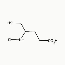 O=C(O)CCC(CS)NCl